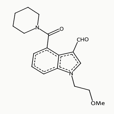 COCCn1cc(C=O)c2c(C(=O)N3CCCCC3)cccc21